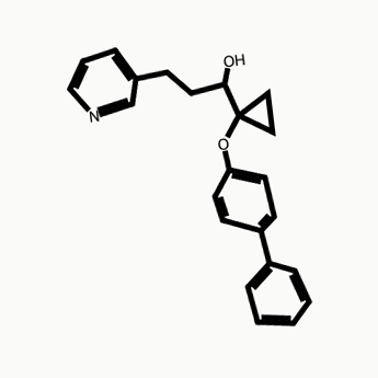 OC(CCc1cccnc1)C1(Oc2ccc(-c3ccccc3)cc2)CC1